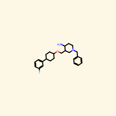 NC1CCN(Cc2ccccc2)CC1COC1CCC(c2cccc(F)c2)CC1